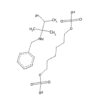 CC(C)C(C)C(C)(C)NCc1ccccc1.O=S(=O)(S)OCCCCCCOS(=O)(=O)S